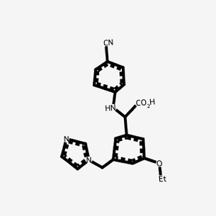 CCOc1cc(Cn2ccnc2)cc(C(Nc2ccc(C#N)cc2)C(=O)O)c1